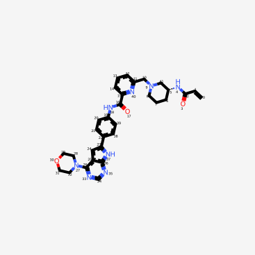 C=CC(=O)N[C@@H]1CCCN(Cc2cccc(C(=O)Nc3ccc(-c4cc5c(N6CCOCC6)ncnc5[nH]4)cc3)n2)C1